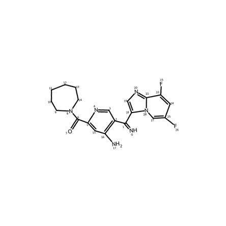 N=C(c1cnc(C(=O)N2CCCCCC2)cc1N)c1cnc2c(F)cc(F)cn12